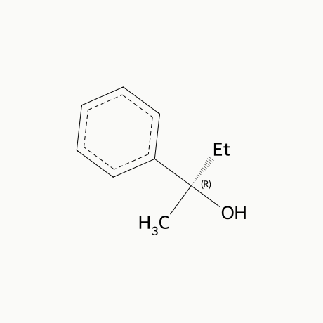 CC[C@@](C)(O)c1ccccc1